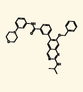 CC(C)Nc1ncc2cc(-c3cccc(C(=O)Nc4cccc(N5CCOCC5)c4)c3)c(OCc3ccccc3)cc2n1